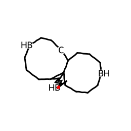 B1CCCCC23CCCCBCCCC2CCCBCCCC3CCC1